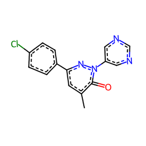 Cc1cc(-c2ccc(Cl)cc2)nn(-c2cncnc2)c1=O